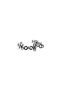 O=C(NO)[C@@H](CS(=O)(=O)N1CCN(c2ccc(OC(F)(F)C(F)F)cc2)CC1)C1CCOCC1